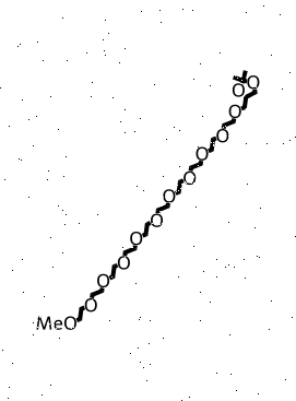 COCCOCCOCCOCCOCCOCCOCCOCCOCCOCCOCC1COC(C)(C)O1